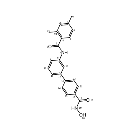 Cc1ccc(C(=O)Nc2cccc(-c3ccc(C(=O)NO)cc3)c2)c(C)c1